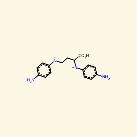 Nc1ccc(NCCC(Nc2ccc(N)cc2)C(=O)O)cc1